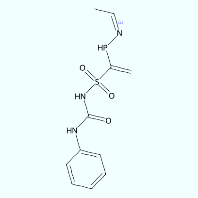 C=C(P/N=C\C)S(=O)(=O)NC(=O)Nc1ccccc1